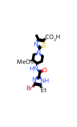 CCc1[nH]c(C(=O)N[C@@H]2CCN(c3nc(C)c(C(=O)O)s3)C[C@@H]2OC)nc1Br